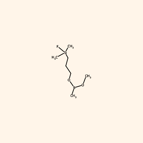 COB(C)OCCC[Si](C)(C)F